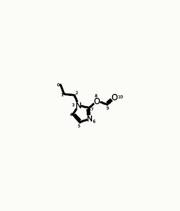 CCCn1ccnc1OC=O